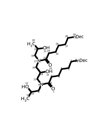 CCCCCCCCCCCCCCCC(=O)N(CC(C)O)CC(O)CN(CC(C)O)C(=O)CCCCCCCCCCCCCCC